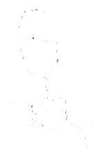 O=[N+]([O-])c1ccc(Cl)c(N2CCC3(CC2)OCCO3)c1